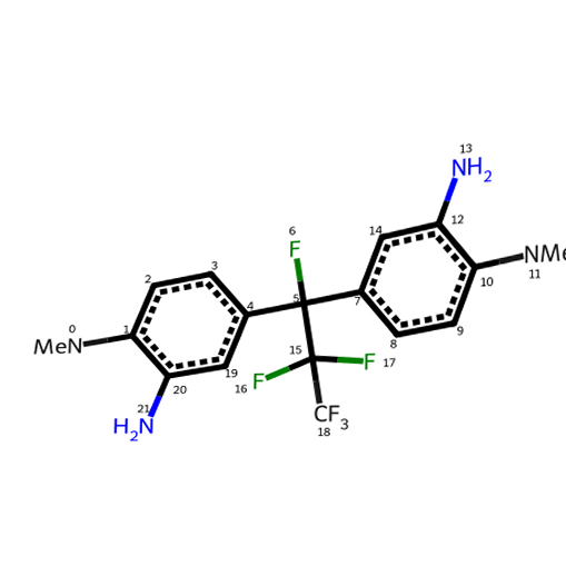 CNc1ccc(C(F)(c2ccc(NC)c(N)c2)C(F)(F)C(F)(F)F)cc1N